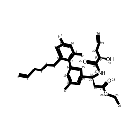 C=CCCCCc1cc(F)cc(C)c1-c1cc(C)cc([C@H](CC(=O)OCC)NC(=O)[C@H](O)CC=C)c1